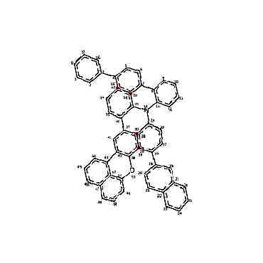 c1ccc(-c2ccc(-c3ccccc3N(c3ccc(-c4ccc5ccccc5c4)cc3)c3ccccc3-c3ccc4c(c3)-c3cccc5cccc(c35)O4)cc2)cc1